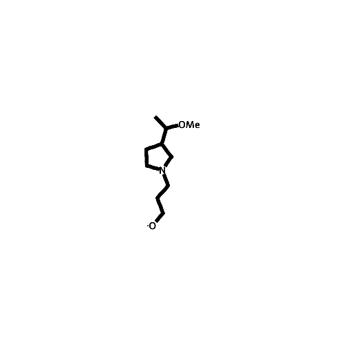 COC(C)C1CCN(CCC[O])C1